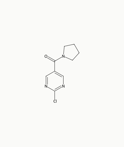 O=C(c1cnc(Cl)nc1)N1CCCC1